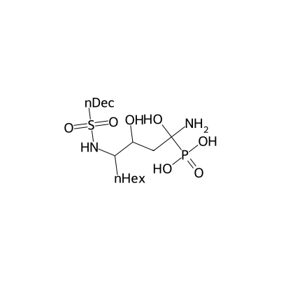 CCCCCCCCCCS(=O)(=O)NC(CCCCCC)C(O)CC(N)(O)P(=O)(O)O